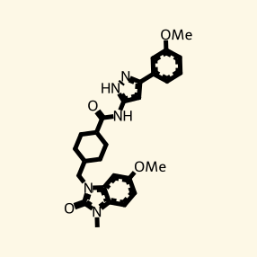 COc1cccc(-c2cc(NC(=O)C3CCC(Cn4c(=O)n(C)c5ccc(OC)cc54)CC3)[nH]n2)c1